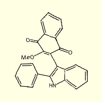 COC1=C(c2c(-c3ccccc3)[nH]c3ccccc23)C(=O)c2ccccc2C1=O